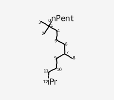 CCCCCC(C)(C)CCCC(C)CCCC(C)C